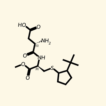 COC(=O)[C@H](CSC1CCCC1C(C)(C)C)NC(=O)[C@@H](N)CC(=O)O